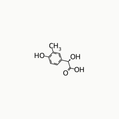 Cc1cc([C@@H](O)C(=O)O)ccc1O